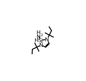 CCC(C)(C)N1C=CN(C(C)(C)CC)[SiH]1N